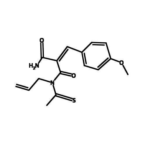 C=CCN(C(=O)/C(=C\c1ccc(OC)cc1)C(N)=O)C(C)=S